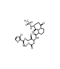 CC(C)(C)OC(=O)CC(NC(=O)C1CCCN2C(=O)CCC(NS(C)(=O)=O)C(=O)N12)C(=O)COC(=O)c1sccc1Cl